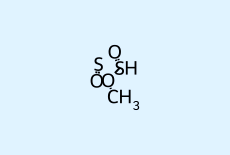 CO[SH]=O.O=S